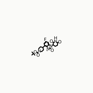 Cn1c(=O)n(C2CCC(=O)NC2=O)c2cc(F)cc(C3CCN(C(=O)OC(C)(C)C)CC3)c21